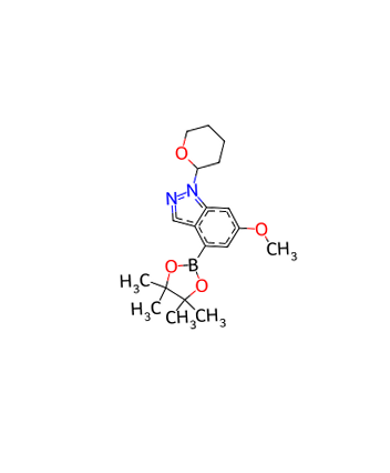 COc1cc(B2OC(C)(C)C(C)(C)O2)c2cnn(C3CCCCO3)c2c1